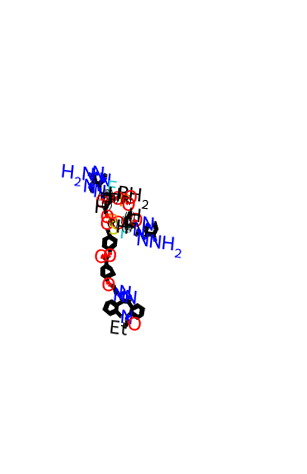 B[P@@]1(=O)OC[C@H]2O[C@@H](n3cnc4c(N)ccnc43)[C@H](F)[C@@H]2O[P@](=O)(SCc2ccc(OC(=O)c3ccc(OCCn4nnc5c4-c4ccccc4CN(C(=O)CC)c4ccccc4-5)cc3)cc2)OC[C@H]2O[C@@H](n3cnc4c(N)ncnc43)[C@H](F)[C@@H]2O1